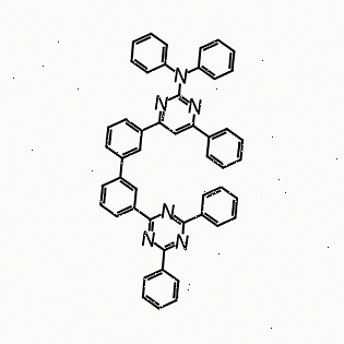 c1ccc(-c2cc(-c3cccc(-c4cccc(-c5nc(-c6ccccc6)nc(-c6ccccc6)n5)c4)c3)nc(N(c3ccccc3)c3ccccc3)n2)cc1